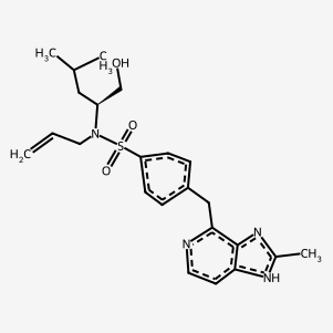 C=CCN([C@H](CO)CC(C)C)S(=O)(=O)c1ccc(Cc2nccc3[nH]c(C)nc23)cc1